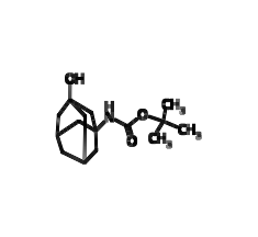 CC(C)(C)OC(=O)NC12CC3CC(CC(O)(C3)C1)C2